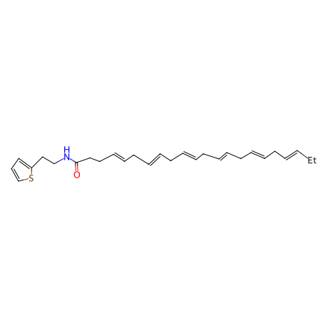 CCC=CCC=CCC=CCC=CCC=CCC=CCCC(=O)NCCc1cccs1